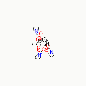 C=C[C@@]1(C)CC(=O)[C@H]2[C@](C)(O1)[C@@H](OC(=O)CN1CCCCC1)[C@@H](OC(=O)CN1CCCCC1)[C@H]1C(C)(C)CC[C@H](OC(=O)CN3CCCCC3)[C@@]12C